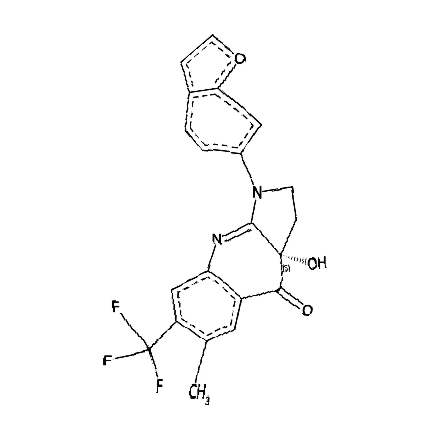 Cc1cc2c(cc1C(F)(F)F)N=C1N(c3ccc4ccoc4c3)CC[C@@]1(O)C2=O